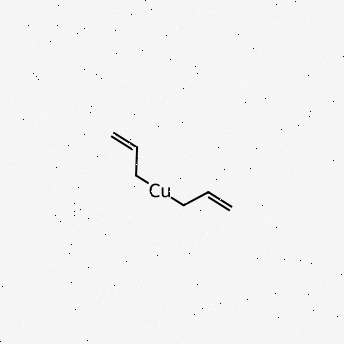 C=C[CH2][Cu][CH2]C=C